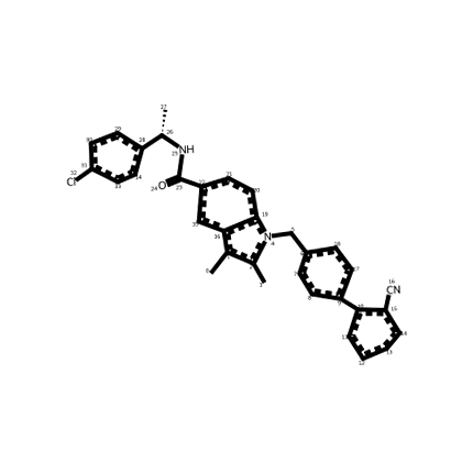 Cc1c(C)n(Cc2ccc(-c3ccccc3C#N)cc2)c2ccc(C(=O)N[C@@H](C)c3ccc(Cl)cc3)cc12